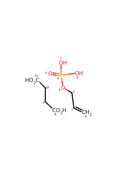 C=CCOP(=O)(O)O.O=C(O)CCC(=O)O